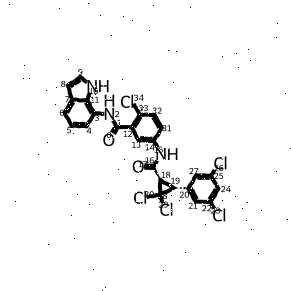 O=C(Nc1cccc2cc[nH]c12)c1cc(NC(=O)[C@H]2[C@H](c3cc(Cl)cc(Cl)c3)C2(Cl)Cl)ccc1Cl